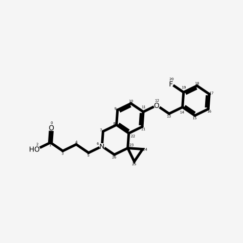 O=C(O)CCCN1Cc2ccc(OCc3ccccc3F)cc2C2(CC2)C1